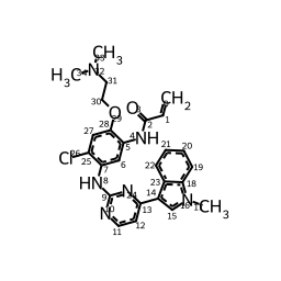 C=CC(=O)Nc1cc(Nc2nccc(-c3cn(C)c4ccccc34)n2)c(Cl)cc1OCCN(C)C